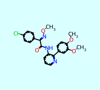 CON=C(C(=O)Nc1cccnc1-c1ccc(OC)c(OC)c1)c1ccc(Cl)cc1